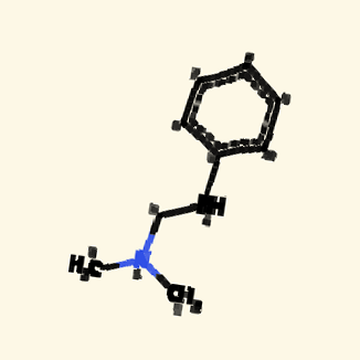 CN(C)[CH2][BiH][c]1ccccc1